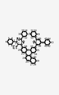 CCC1C(c2ccccc2)=NC(c2ccccc2)=NC1c1ccc(-c2ccc3ccccc3c2-c2ccc(-c3cc(-c4ccccc4)cc(-c4ccccc4)n3)cc2)cc1